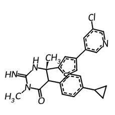 CN1C(=N)N[C@](C)(c2cc(-c3cncc(Cl)c3)cs2)C(c2ccc(C3CC3)cc2)C1=O